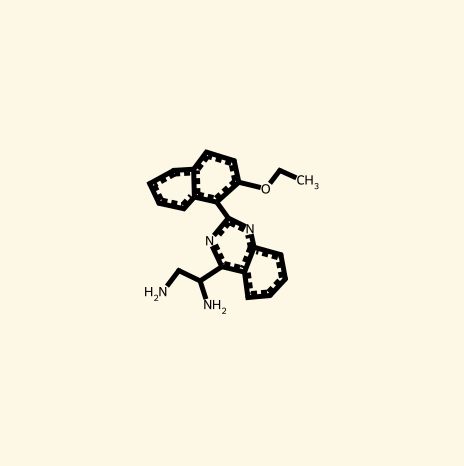 CCOc1ccc2ccccc2c1-c1nc(C(N)CN)c2ccccc2n1